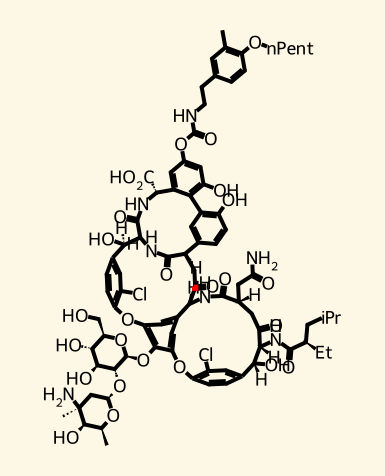 CCCCCOc1ccc(CCNC(=O)Oc2cc(O)c3c(c2)[C@@H](C(=O)O)NC(=O)[C@H]2NC(=O)[C@H](CC(=O)[C@@H]4NC(=O)[C@H](CC(N)=O)CC(=O)[C@H](NC(=O)[C@H](CC)CC(C)C)[C@H](O)c5ccc(c(Cl)c5)Oc5cc4cc(c5O[C@@H]4O[C@H](CO)[C@@H](O)[C@H](O)[C@H]4O[C@H]4C[C@](C)(N)[C@H](O)[C@H](C)O4)Oc4ccc(cc4Cl)[C@H]2O)c2ccc(O)c-3c2)cc1C